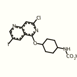 O=C(O)NC1CCC(Oc2nc(Cl)cc3ncc(I)cc23)CC1